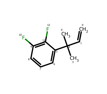 C=CC(C)(C)c1cccc(F)c1F